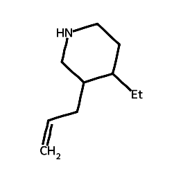 C=CCC1CNCCC1CC